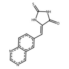 O=C1NC(=S)N/C1=C\c1ccc2ncncc2c1